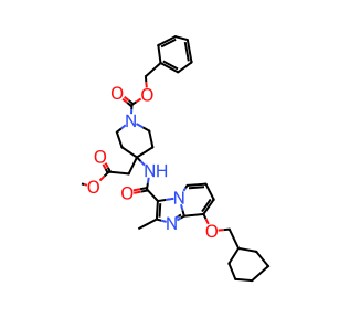 COC(=O)CC1(NC(=O)c2c(C)nc3c(OCC4CCCCC4)cccn23)CCN(C(=O)OCc2ccccc2)CC1